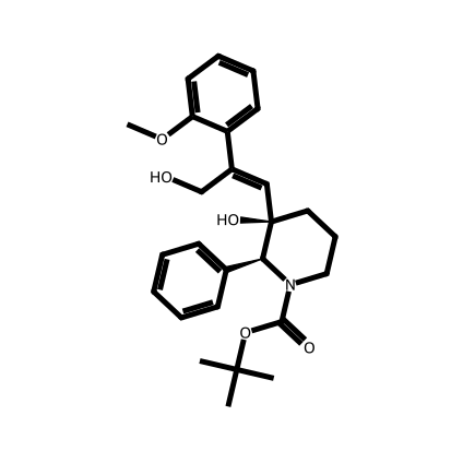 COc1ccccc1/C(=C/[C@]1(O)CCCN(C(=O)OC(C)(C)C)[C@H]1c1ccccc1)CO